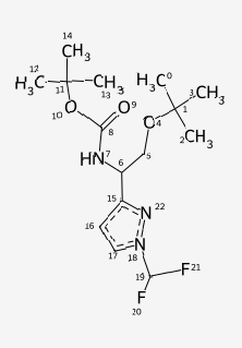 CC(C)(C)OCC(NC(=O)OC(C)(C)C)c1ccn(C(F)F)n1